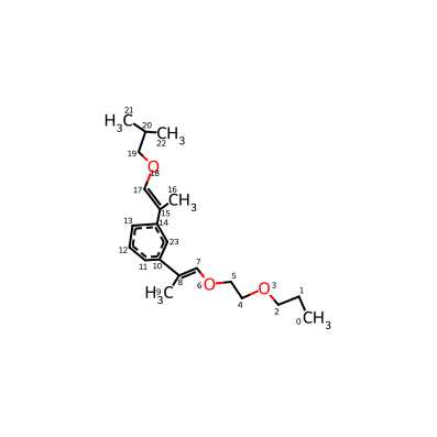 CCCOCCOC=C(C)c1cccc(C(C)=COCC(C)C)c1